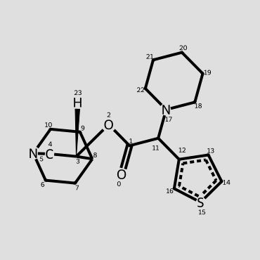 O=C(O[C@H]1CN2CCC1CC2)C(c1ccsc1)N1CCCCC1